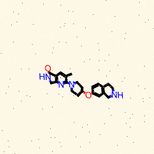 Cc1cc2c(nc1N1CCC(Oc3ccc4c(c3)CNCC4)CC1)CNC2=O